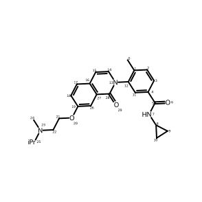 Cc1ccc(C(=O)NC2CC2)cc1-n1ccc2ccc(OCCN(C)C(C)C)cc2c1=O